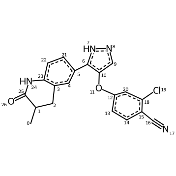 CC1Cc2cc(-c3[nH]ncc3Oc3ccc(C#N)c(Cl)c3)ccc2NC1=O